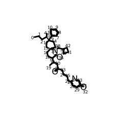 CCCC(C)[C@]1(c2ccccc2)CC[C@@]2(CCC(C(C)CC(=O)CCCCc3ccc(OC)cn3)C(=O)N2CC2CCC2)CC1